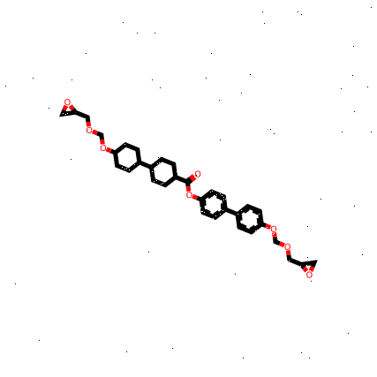 O=C(Oc1ccc(-c2ccc(OCOCC3CO3)cc2)cc1)C1CCC(C2CCC(OCOCC3CO3)CC2)CC1